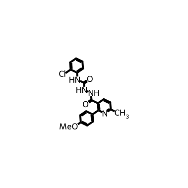 COc1ccc(-c2nc(C)ccc2C(=O)NNC(=O)Nc2ccccc2Cl)cc1